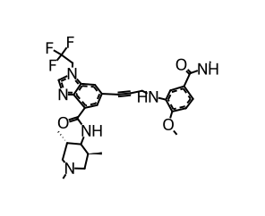 CNC(=O)c1ccc(OC)c(NCC#Cc2cc(C(=O)NC3[C@@H](C)CN(C)C[C@@H]3C)c3ncn(CC(F)(F)F)c3c2)c1